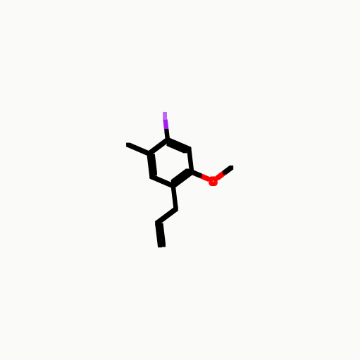 C=CCc1cc(C)c(I)cc1OC